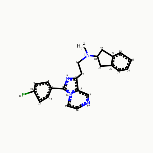 CN(CCc1nc(-c2ccc(F)cc2)n2ccncc12)C1Cc2ccccc2C1